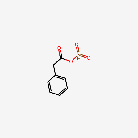 O=C(Cc1ccccc1)O[SH](=O)=O